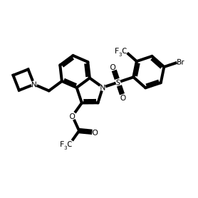 O=C(Oc1cn(S(=O)(=O)c2ccc(Br)cc2C(F)(F)F)c2cccc(CN3CCC3)c12)C(F)(F)F